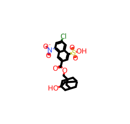 O=C(OCC12CC3CC(CC(O)(C3)C1)C2)c1cc(S(=O)(=O)O)c2cc(Cl)cc([N+](=O)[O-])c2c1